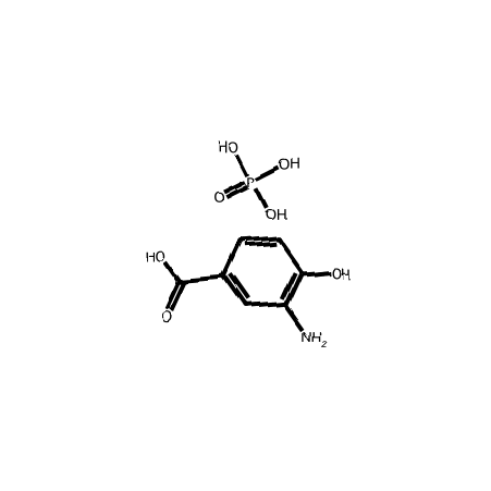 Nc1cc(C(=O)O)ccc1O.O=P(O)(O)O